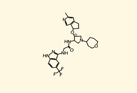 Cc1cc2c(cn1)C(O[C@H]1CN(C3CCCOCC3)CC1NC(=O)CNc1n[nH]c3ccc(C(F)(F)F)cc13)CC2